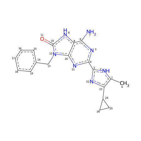 Cc1[nH]c(-c2nc(N)c3[nH]c(=O)n(Cc4ccccc4)c3n2)nc1C1CC1